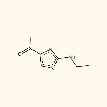 CCNc1nc(C(C)=O)cs1